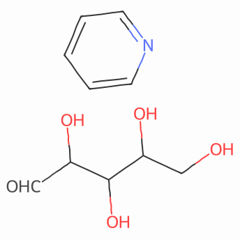 O=CC(O)C(O)C(O)CO.c1ccncc1